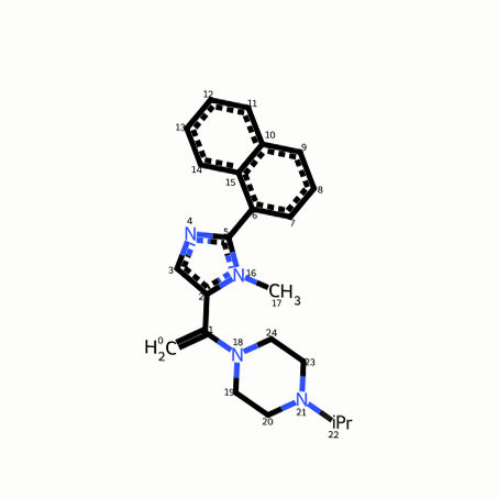 C=C(c1cnc(-c2cccc3ccccc23)n1C)N1CCN(C(C)C)CC1